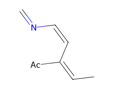 C=N/C=C\C(=C/C)C(C)=O